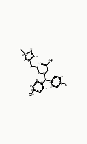 [2H]C(=O)CC(CCCc1cn(C)nn1)C(c1ccc(C)cc1)c1ccc(Cl)cc1